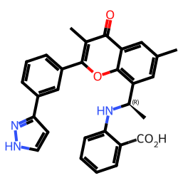 Cc1cc([C@@H](C)Nc2ccccc2C(=O)O)c2oc(-c3cccc(-c4cc[nH]n4)c3)c(C)c(=O)c2c1